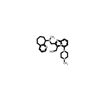 CN1CCN(c2cccc3nc(CN(C)C4CCCCc5cccnc54)c(CO)n23)CC1